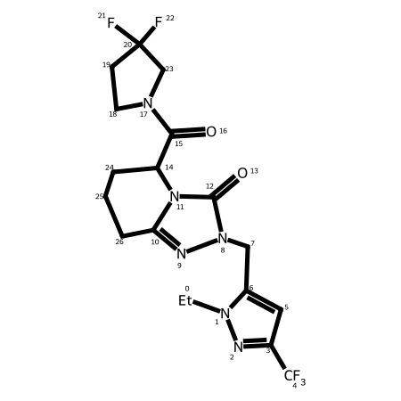 CCn1nc(C(F)(F)F)cc1Cn1nc2n(c1=O)C(C(=O)N1CCC(F)(F)C1)CCC2